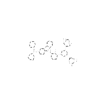 Cc1c(-c2cc(-c3cncnc3)cc(-c3cncnc3)c2)cccc1-n1c2ccccc2c2cc(N(c3ccccc3)c3ccccc3)ccc21